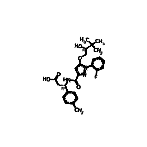 Cc1ccc([C@H](CC(=O)O)NC(=O)c2cc(OC[C@@H](O)C(C)(C)C)n(-c3ccccc3F)n2)cc1